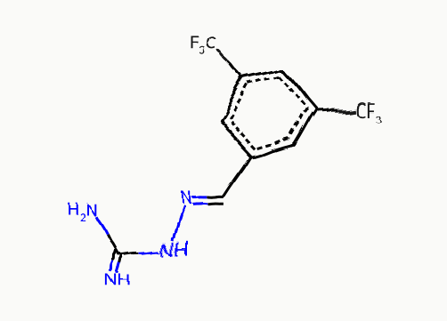 N=C(N)NN=Cc1cc(C(F)(F)F)cc(C(F)(F)F)c1